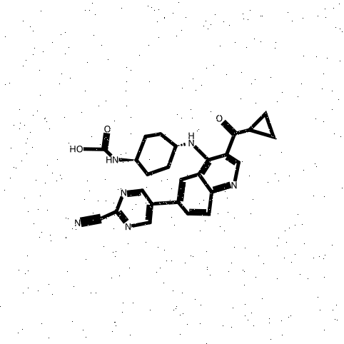 N#Cc1ncc(-c2ccc3ncc(C(=O)C4CC4)c(N[C@H]4CC[C@H](NC(=O)O)CC4)c3c2)cn1